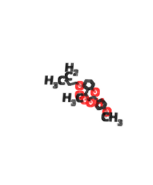 C=C(C)CCOc1cccc2c1C(=O)C(O)(OC)C(c1ccc(OC)cc1)O2